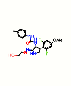 COc1cc(F)c([C@@H]2CN/C(=N\OCCO)[C@H]2NC(=O)Nc2ccc(C)cc2)c(F)c1